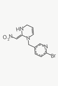 O=[N+]([O-])C=C1NCC=CN1Cc1ccc(Br)nc1